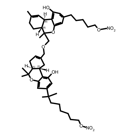 CC1=C[C@H]2c3c(O)cc(CCCCCO[N+](=O)[O-])cc3OC(C)(COCC3=CC[C@H]4[C@H](C3)c3c(O)cc(C(C)(C)CCCCCCO[N+](=O)[O-])cc3OC4(C)C)[C@@H]2CC1